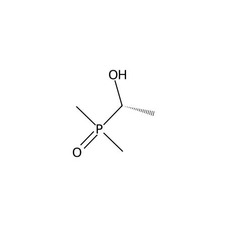 C[C@@H](O)P(C)(C)=O